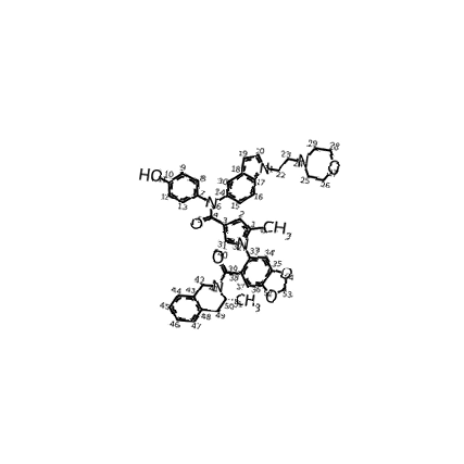 Cc1cc(C(=O)N(c2ccc(O)cc2)c2ccc3c(ccn3CCN3CCOCC3)c2)cn1-c1cc2c(cc1C(=O)N1Cc3ccccc3C[C@H]1C)OCO2